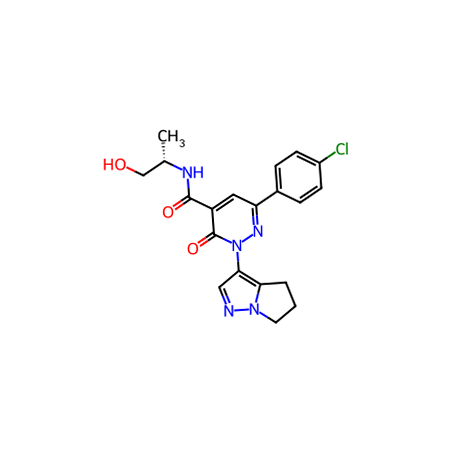 C[C@@H](CO)NC(=O)c1cc(-c2ccc(Cl)cc2)nn(-c2cnn3c2CCC3)c1=O